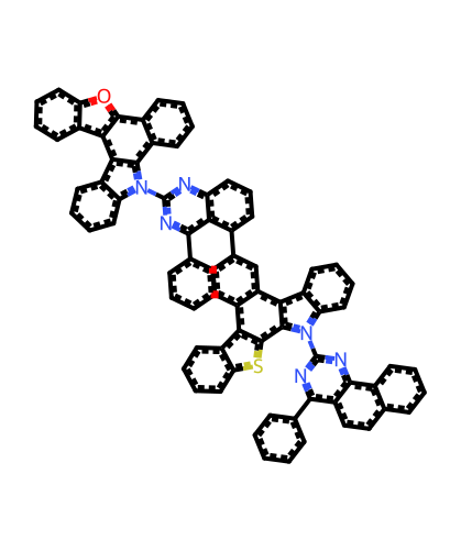 c1ccc(-c2nc(-n3c4ccccc4c4c5cc(-c6cccc7nc(-n8c9ccccc9c9c%10c%11ccccc%11oc%10c%10ccccc%10c98)nc(-c8ccccc8)c67)ccc5c5c6ccccc6sc5c43)nc3c2ccc2ccccc23)cc1